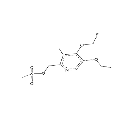 CCOc1cnc(COS(C)(=O)=O)c(C)c1OCF